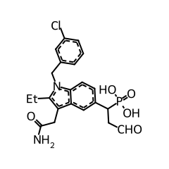 CCc1c(CC(N)=O)c2cc(C(CC=O)P(=O)(O)O)ccc2n1Cc1cccc(Cl)c1